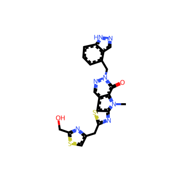 Cn1c2nc(Cc3csc(CO)n3)sc2c2cnn(Cc3cccc4[nH]ncc34)c(=O)c21